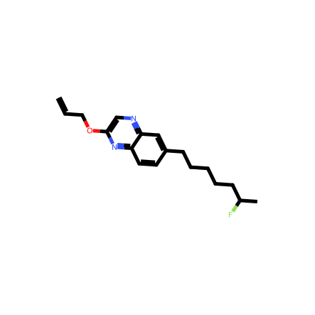 C=CCOc1cnc2cc(CCCCCC(C)F)ccc2n1